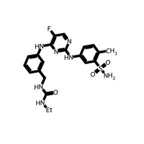 CCNC(=O)NCc1cccc(Nc2nc(Nc3ccc(C)c(S(N)(=O)=O)c3)ncc2F)c1